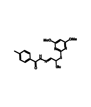 COc1cc(OC)nc(SC(C=NNC(=O)c2ccc(C)cc2)C(C)(C)C)n1